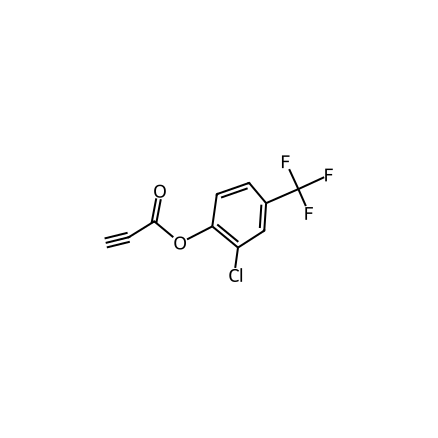 C#CC(=O)Oc1ccc(C(F)(F)F)cc1Cl